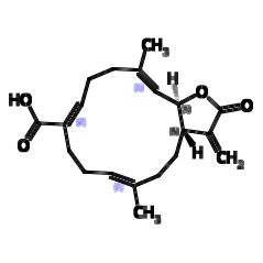 C=C1C(=O)O[C@@H]2/C=C(\C)CC/C=C(\C(=O)O)CC/C=C(\C)CC[C@@H]12